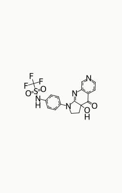 O=C1c2ccncc2N=C2N(c3ccc(NS(=O)(=O)C(F)(F)F)cc3)CCC12O